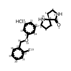 Cl.O=C1NCC[C@]12CC[C@H](c1cccc(OCc3ccccc3F)c1)N2